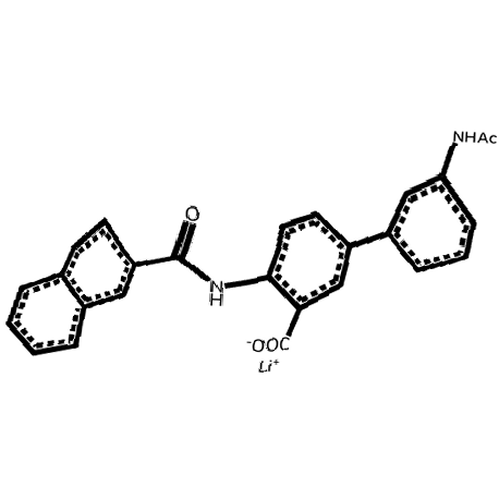 CC(=O)Nc1cccc(-c2ccc(NC(=O)c3ccc4ccccc4c3)c(C(=O)[O-])c2)c1.[Li+]